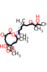 CC[C@H](O)[C@@H](C)[C@H]1OC1C[C@H](C)/C=C/C=C(\C)[C@H]1OC(=O)C[C@H](O)CC[C@@](C)(O)[C@@H](OC(C)=O)/C=C/[C@@H]1C